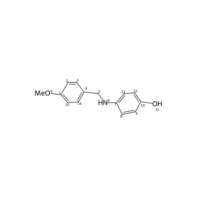 COc1ccc(CNc2ccc(O)cc2)cc1